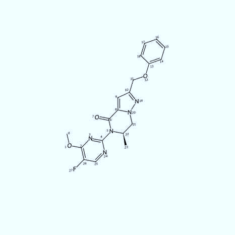 COc1nc(N2C(=O)c3cc(COc4ccccc4)nn3C[C@H]2C)ncc1F